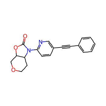 O=C1OC2COCCC2N1c1ccc(C#Cc2ccccc2)cn1